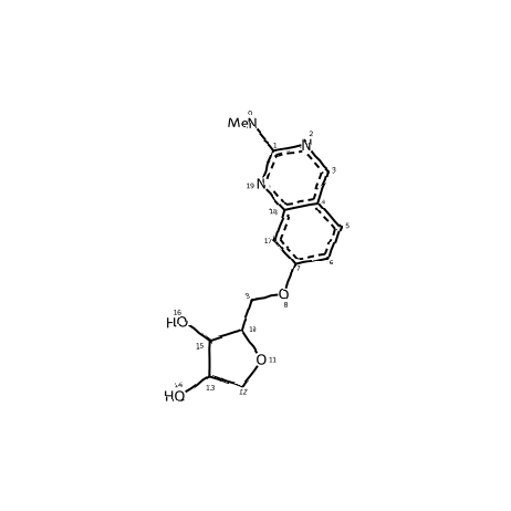 CNc1ncc2ccc(OCC3OCC(O)C3O)cc2n1